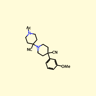 COc1cccc(C2(C#N)CCN(C3(C#N)CCN(C(C)=O)CC3)CC2)c1